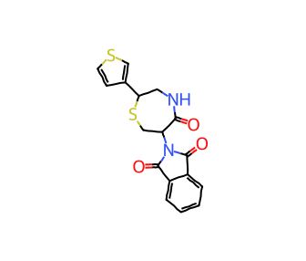 O=C1NCC(c2ccsc2)SCC1N1C(=O)c2ccccc2C1=O